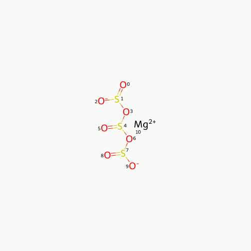 O=S([O-])OS(=O)OS(=O)[O-].[Mg+2]